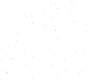 O=C(O)N1CCC(Oc2ccc([N+](=O)[O-])cc2)CC1